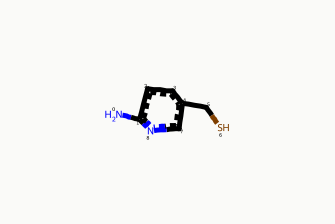 Nc1ccc(CS)cn1